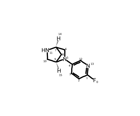 Fc1ccc(N2C[C@H]3C[C@@H]2CN3)cn1